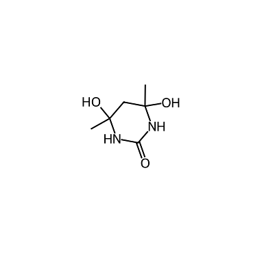 CC1(O)CC(C)(O)NC(=O)N1